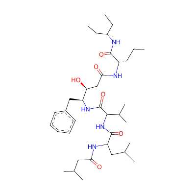 CCC[C@H](NC(=O)C[C@H](O)[C@H](Cc1ccccc1)NC(=O)C(NC(=O)C(CC(C)C)NC(=O)CC(C)C)C(C)C)C(=O)NC(CC)CC